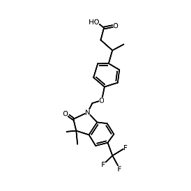 CC(CC(=O)O)c1ccc(OCN2C(=O)C(C)(C)c3cc(C(F)(F)F)ccc32)cc1